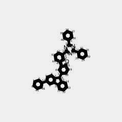 c1ccc(-c2ccc3c(c2)-c2ccccc2C3c2ccc3oc4c(-c5nc(-c6ccccc6)nc(-c6ccccc6)n5)cccc4c3c2)cc1